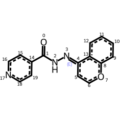 O=C(N/N=c1\ccoc2ccccc12)c1ccncc1